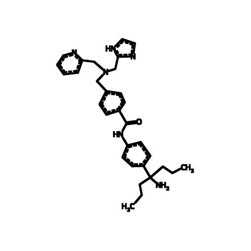 CCCC(N)(CCC)c1ccc(NC(=O)c2ccc(CN(Cc3ccccn3)Cc3ncc[nH]3)cc2)cc1